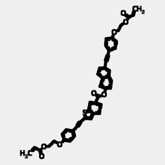 C=CC(=O)OCCOc1ccc(C#Cc2ccc3cc(OC(=O)c4ccc5cc(C#Cc6ccc(OCCOC(=O)C=C)cc6)sc5c4)ccc3c2)cc1